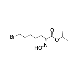 CC(C)OC(=O)C(CCCCCBr)=NO